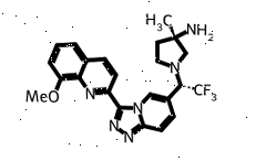 COc1cccc2ccc(-c3nnc4ccc([C@H](N5CC[C@](C)(N)C5)C(F)(F)F)cn34)nc12